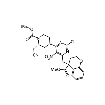 COC(=O)C1(Cc2nc(Cl)nc(N3CCN(C(=O)OC(C)(C)C)[C@@H](CC#N)C3)c2[N+](=O)[O-])CCOc2ccccc21